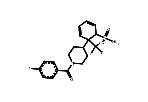 NS(=O)(=O)C1C=CC=CC1(C1CCN(C(=O)c2ccc(F)cc2)CC1)C(F)(F)F